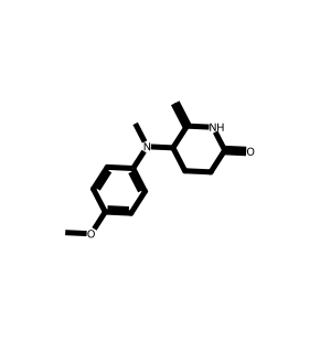 C=C1NC(=O)CCC1N(C)c1ccc(OC)cc1